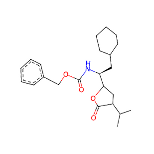 CC(C)C1CC([C@H](CC2CCCCC2)NC(=O)OCc2ccccc2)OC1=O